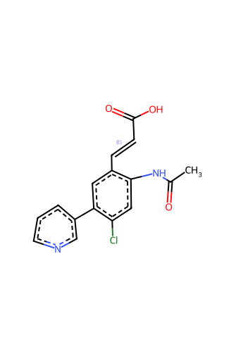 CC(=O)Nc1cc(Cl)c(-c2cccnc2)cc1/C=C/C(=O)O